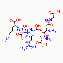 CC(N)C(=O)O.N=C(N)NCCCC(N)C(=O)O.NC(CC(=O)O)C(=O)O.NC(CO)C(=O)O.NCC(=O)O.NCCCCC(N)C(=O)O